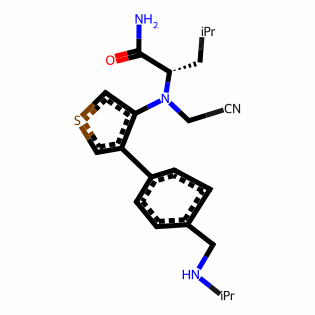 CC(C)C[C@@H](C(N)=O)N(CC#N)c1cscc1-c1ccc(CNC(C)C)cc1